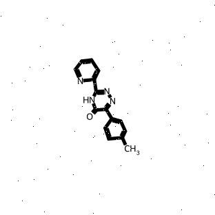 Cc1ccc(-c2nnc(-c3ccccn3)[nH]c2=O)cc1